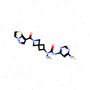 CN(C(=O)Nc1cc(C(F)(F)F)ncn1)C1CC2(C1)CN(C(=O)c1cnn3ccsc13)C2